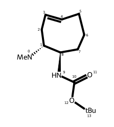 CN[C@@H]1C/C=C/CCC[C@H]1NC(=O)OC(C)(C)C